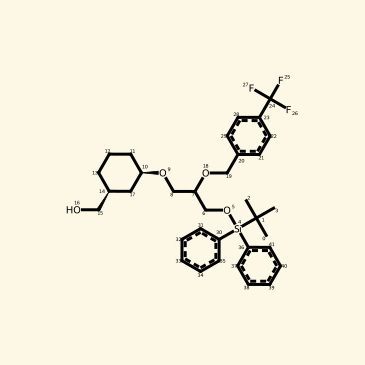 CC(C)(C)[Si](OCC(CO[C@@H]1CCC[C@H](CO)C1)OCc1ccc(C(F)(F)F)cc1)(c1ccccc1)c1ccccc1